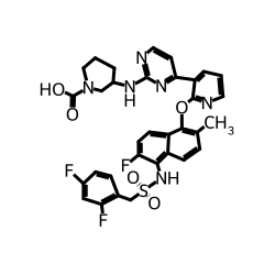 Cc1ccc2c(NS(=O)(=O)Cc3ccc(F)cc3F)c(F)ccc2c1Oc1ncccc1-c1ccnc(NC2CCCN(C(=O)O)C2)n1